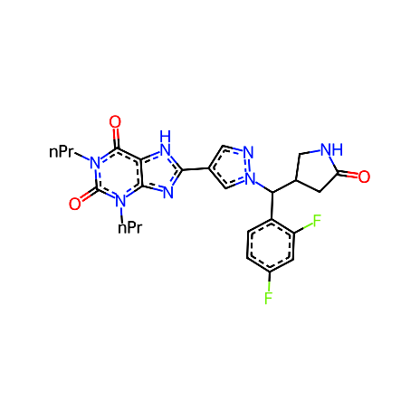 CCCn1c(=O)c2[nH]c(-c3cnn(C(c4ccc(F)cc4F)C4CNC(=O)C4)c3)nc2n(CCC)c1=O